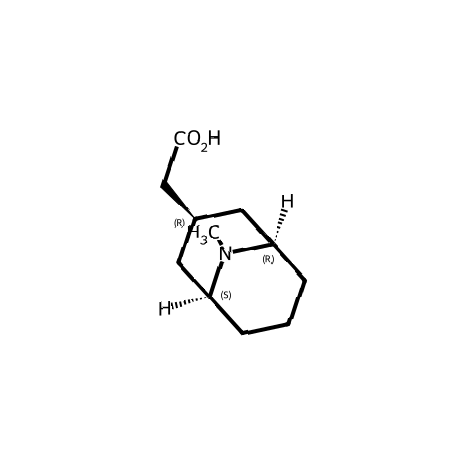 CN1[C@@H]2CCC[C@H]1C[C@@H](CC(=O)O)C2